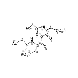 CC(=O)CC(=O)N[C@@H](CC(=O)O)C(=O)OC(=O)[C@H](CC(=O)O)NC(=O)CC(C)=O